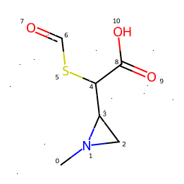 CN1CC1C(SC=O)C(=O)O